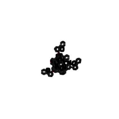 N#Cc1c(-n2c3ccccc3c3cc(-c4cccc5c4oc4ccccc45)ccc32)c(-n2c3ccccc3c3ccccc32)c(-n2c3ccccc3c3cc(-c4cccc5c4oc4ccccc45)ccc32)c(-n2c3ccccc3c3ccccc32)c1-n1c2ccccc2c2cc(-c3cccc4c3oc3ccccc34)ccc21